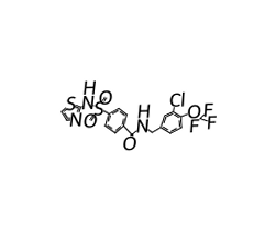 O=C(NCc1ccc(OC(F)(F)F)c(Cl)c1)c1ccc(S(=O)(=O)Nc2nccs2)cc1